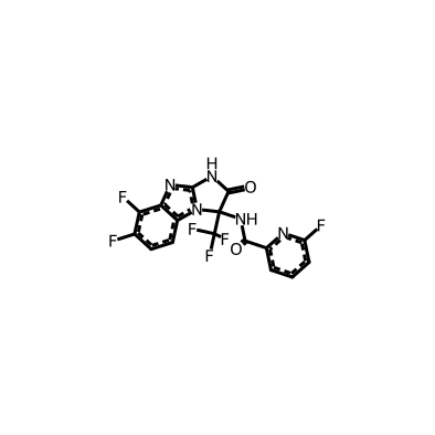 O=C(NC1(C(F)(F)F)C(=O)Nc2nc3c(F)c(F)ccc3n21)c1cccc(F)n1